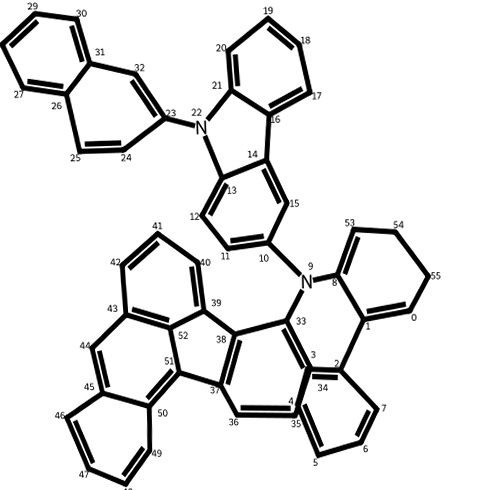 C1=C(c2ccccc2)C(N(c2ccc3c(c2)c2ccccc2n3-c2ccc3ccccc3c2)c2cccc3c2-c2cccc4cc5ccccc5c-3c24)=CCC1